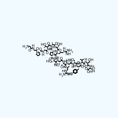 CC(C)[C@H](NC(=O)[C@H](Cc1ccc(O)cc1)NC(=O)[C@H](CO)NC(=O)[C@H](CCCNC(=N)N)NC(=O)[C@H](CO)NC(=O)[C@H](CO)NC(=O)[C@H](CO)NC(=O)[C@@H]1CCCN1C(=O)[C@H](CCCNC(=N)N)NC(=O)[C@H](CO)NC(=O)[C@H](C)NC(=O)[C@@H](NC(=O)CNC(=O)[C@@H]1CCCN1C(=O)CNC(=O)CN)[C@@H](C)O)C(=O)N[C@H](C(=O)N[C@H](C(=O)O)[C@@H](C)O)[C@@H](C)O